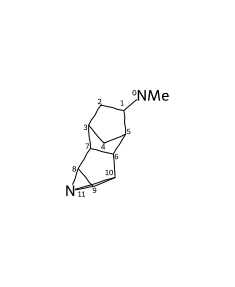 CNC1CC2CC1C1C2C2C3C1N23